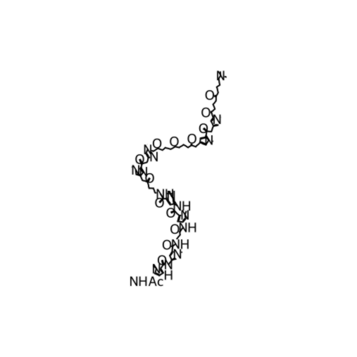 CC(=O)Nc1cc(C(=O)Nc2cc(C(=O)NCCC(=O)Nc3cc(C(=O)Nc4cc(C(=O)NCCCC(=O)Cc5cn(C)c(C(=O)Cc6cn(C)c(C(=O)CCCC(=O)CCCC(=O)Cc7cc(C(=O)Cc8cc(C(=O)CCCC(=O)CCCCN(C)C)n(C)c8)n(C)c7)n6)n5)n(C)c4)n(C)c3)n(C)c2)n(C)c1